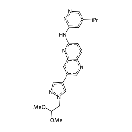 COC(Cn1cc(-c2cnc3ccc(Nc4cc(C(C)C)cnn4)nc3c2)cn1)OC